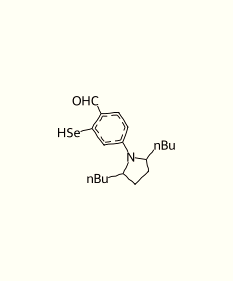 CCCCC1CCC(CCCC)N1c1ccc(C=O)c([SeH])c1